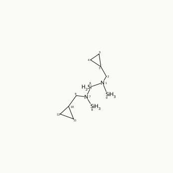 [SiH3]N(CC1CC1)[SiH2]N([SiH3])CC1CC1